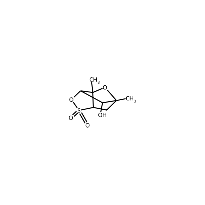 CC12CC3C(C)(O1)C(OS3(=O)=O)C2O